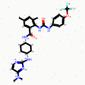 Cc1cc(C)c(NC(=O)Nc2ccc(OC(F)(F)F)cc2)c(C(=O)N[C@H]2CC[C@@H](Nc3nccc(N(C)C)n3)CC2)c1